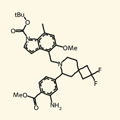 COC(=O)c1ccc(C2CC3(CCN2Cc2c(OC)cc(C)c4c2ccn4C(=O)OC(C)(C)C)CC(F)(F)C3)cc1N